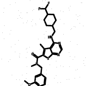 COc1cc(CN(C)C(=O)c2sc3ncnc(NCC4CCC(C(F)F)CC4)c3c2C)ccn1